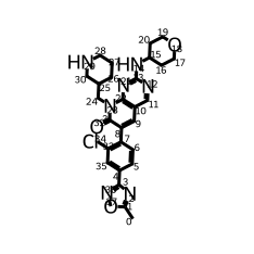 Cc1nc(-c2ccc(-c3cc4cnc(NC5CCOCC5)nc4n(CC4CCCNC4)c3=O)c(Cl)c2)no1